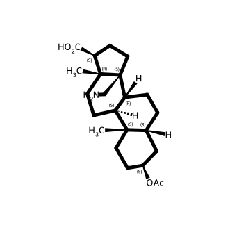 CC(=O)O[C@H]1CC[C@@]2(C)[C@H](CC[C@@H]3[C@@H]2CC[C@]2(C)[C@@H](C(=O)O)CC[C@]32CN)C1